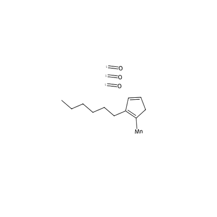 CCCCCCC1=[C]([Mn])CC=C1.[C]=O.[C]=O.[C]=O